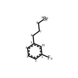 Fc1cccc(CCCBr)c1